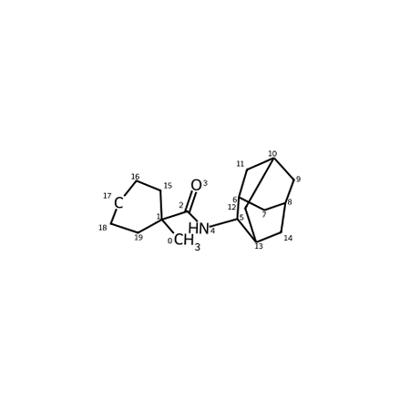 CC1(C(=O)NC2C3CC4CC(C3)CC2C4)CCCCC1